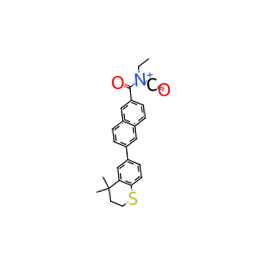 CC[N+](=C=O)C(=O)c1ccc2cc(-c3ccc4c(c3)C(C)(C)CCS4)ccc2c1